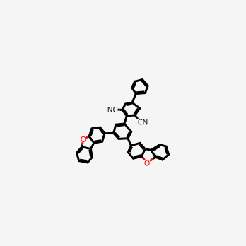 N#Cc1cc(-c2ccccc2)cc(C#N)c1-c1cc(-c2ccc3oc4ccccc4c3c2)cc(-c2ccc3oc4ccccc4c3c2)c1